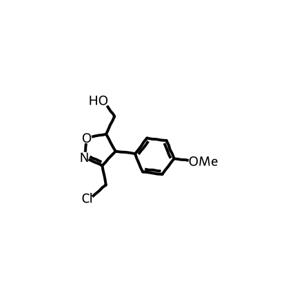 COc1ccc(C2C(CCl)=NOC2CO)cc1